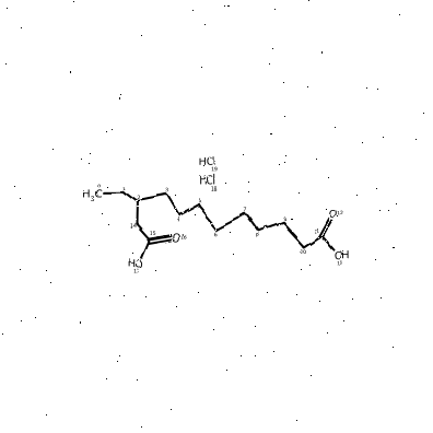 CCC(CCCCCCCCC(=O)O)CC(=O)O.Cl.Cl